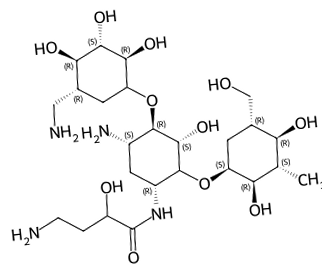 C[C@H]1[C@H](O)[C@@H](CO)C[C@H](OC2[C@@H](O)[C@H](OC3C[C@H](CN)[C@@H](O)[C@H](O)[C@H]3O)[C@@H](N)C[C@H]2NC(=O)C(O)CCN)[C@@H]1O